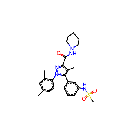 Cc1ccc(-n2nc(C(=O)NN3CCCCC3)c(C)c2-c2cccc(NS(C)(=O)=O)c2)c(C)c1